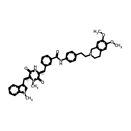 COc1cc2c(cc1OC)CN(CCc1ccc(NC(=O)c3cccc(/C=c4\[nH]c(=O)/c(=C/c5cn(C)c6ccccc56)n(C)c4=O)c3)cc1)CC2